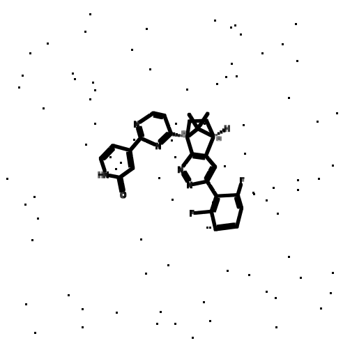 CC1(C)[C@H]2CC[C@]1(c1ccnc(-c3cc[nH]c(=O)c3)n1)c1nnc(-c3c(F)cccc3F)cc12